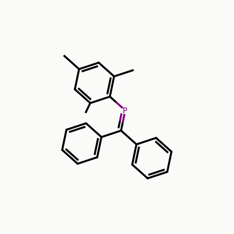 Cc1cc(C)c(P=C(c2ccccc2)c2ccccc2)c(C)c1